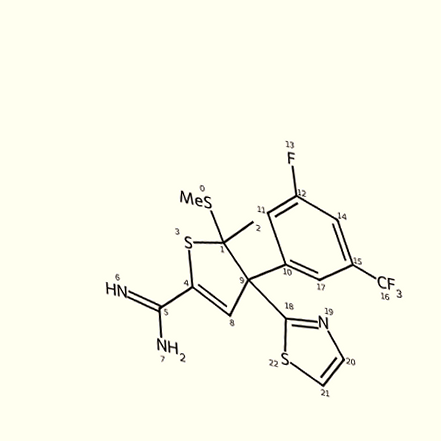 CSC1(C)SC(C(=N)N)=CC1(c1cc(F)cc(C(F)(F)F)c1)c1nccs1